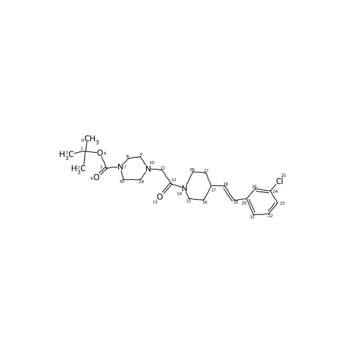 CC(C)(C)OC(=O)N1CCN(CC(=O)N2CCC(C=Cc3cccc(Cl)c3)CC2)CC1